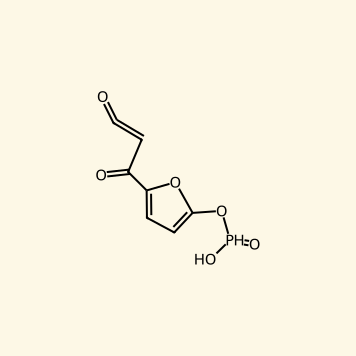 O=C=CC(=O)c1ccc(O[PH](=O)O)o1